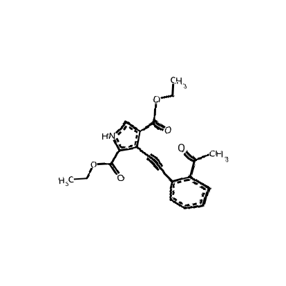 CCOC(=O)c1c[nH]c(C(=O)OCC)c1C#Cc1ccccc1C(C)=O